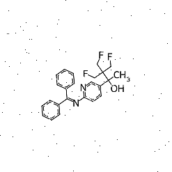 CC(O)(c1ccc(N=C(c2ccccc2)c2ccccc2)nc1)C(CF)(CF)CF